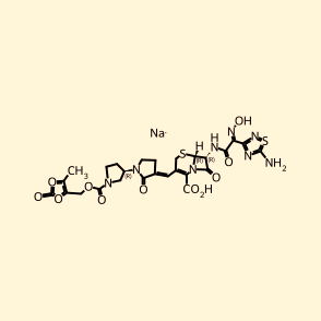 Cc1oc(=O)oc1COC(=O)N1CC[C@@H](N2CCC(=CC3=C(C(=O)O)N4C(=O)[C@@H](NC(=O)C(=NO)c5nsc(N)n5)[C@H]4SC3)C2=O)C1.[Na]